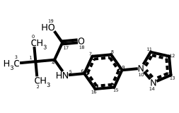 CC(C)(C)C(Nc1ccc(-n2cccn2)cc1)C(=O)O